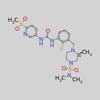 C[C@H]1CN(S(=O)(=O)N(C)C)CCN1Cc1cccc(NC(=O)Nc2ccc(S(C)(=O)=O)nc2)c1F